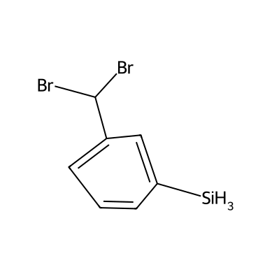 [SiH3]c1cccc(C(Br)Br)c1